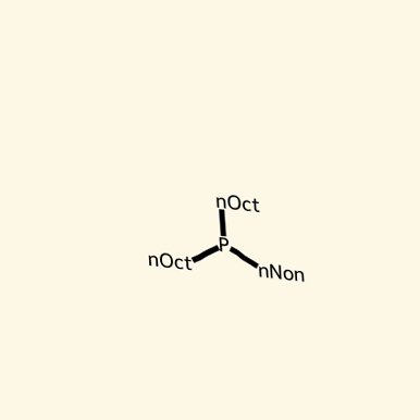 CCCCCCCCCP(CCCCCCCC)CCCCCCCC